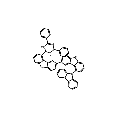 c1ccc(C2=NC(c3ccccc3)NC(c3cccc4oc5ccc(-c6ccc7sc8cccc(-n9c%10ccccc%10c%10ccccc%109)c8c7c6)cc5c34)N2)cc1